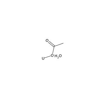 CC(=O)[O][U].O